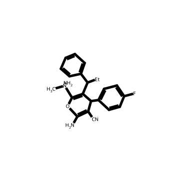 CCC(C1=C(N(C)N)OC(N)=C(C#N)C1c1ccc(F)cc1)c1ccccc1